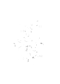 C#C[C@@]1(F)[C@H](O)[C@@H](COP(=O)(N[C@@H](C)C(=O)OC(C)C)Oc2cccc3ccccc23)O[C@H]1n1cnc2c(N(C)C3CC3)nc(N)nc21